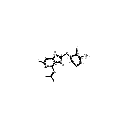 CC(C)=Cc1nc(C)cc2[nH]c(Cn3cccc(N)c3=O)nc12